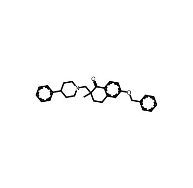 CC1(CN2CCC(c3ccccc3)CC2)CCc2cc(OCc3ccccc3)ccc2C1=O